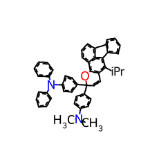 CC(C)c1c2c(c3cccc4c3c1-c1ccccc1-4)OC(c1ccc(N(C)C)cc1)(c1ccc(N(c3ccccc3)c3ccccc3)cc1)C=C2